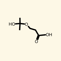 CC(C)(O)OCCC(=O)O